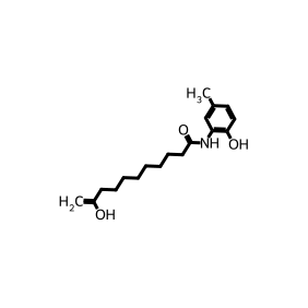 C=C(O)CCCCCCCCC(=O)Nc1cc(C)ccc1O